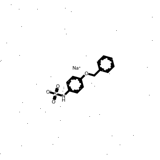 O=S(=O)([O-])Nc1ccc(OCc2ccccc2)cc1.[Na+]